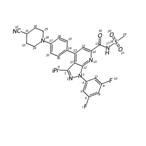 CC(C)c1nn(-c2cc(F)cc(F)c2)c2nc(C(=O)NS(C)(=O)=O)cc(-c3ccc(N4CCC(C#N)CC4)cc3)c12